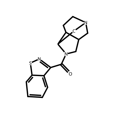 O=C(c1nsc2ccccc12)N1CC2CN3CCC2C1C3